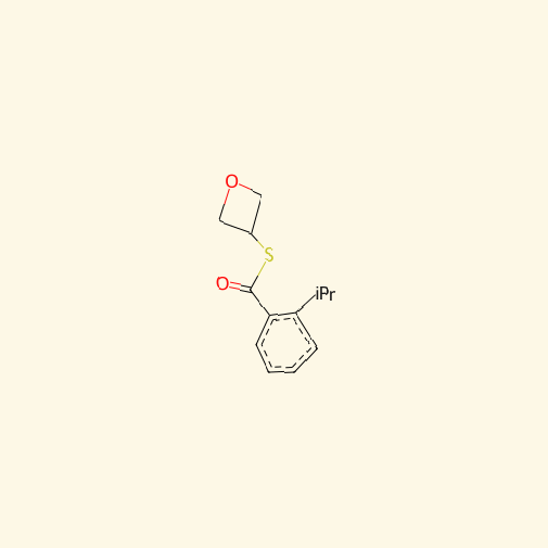 CC(C)c1ccccc1C(=O)SC1COC1